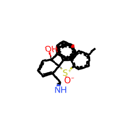 Cc1ccc([S+]([O-])[C@]2(c3ccccc3)C(C=N)=CC=C[C@]2(O)c2ccccc2)cc1